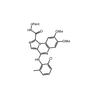 CCCCCNC(=O)c1ncc2c(Nc3c(C)cccc3Cl)nc3cc(OC)c(OC)cc3n12